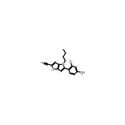 CCCCn1c(-c2ccc(O)cc2Cl)cc2sc(C#N)cc21